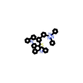 c1ccc(-c2nc(-c3ccccc3)nc(-c3cccc(-c4cccc(-c5sc6c(c(-c7ccccc7)nc7ccccc76)c5-c5cccc(-n6c7ccccc7c7ccccc76)c5)c4)c3)n2)cc1